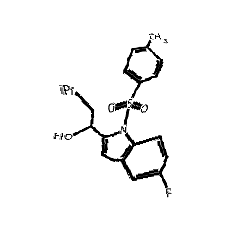 Cc1ccc(S(=O)(=O)n2c(C(O)CC(C)C)cc3cc(F)ccc32)cc1